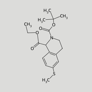 CCOC(=O)C1c2ccc(SC)cc2CCN1C(=O)OC(C)(C)C